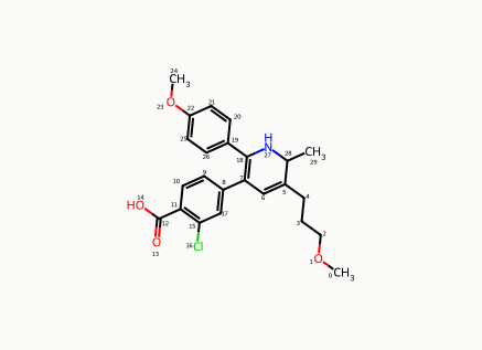 COCCCC1=CC(c2ccc(C(=O)O)c(Cl)c2)=C(c2ccc(OC)cc2)NC1C